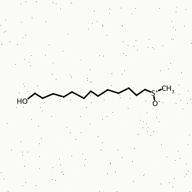 C[S+]([O-])CCCCCCCCCCCCCO